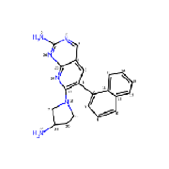 Nc1ncc2cc(-c3cccc4ccccc34)c(N3CCC(N)C3)nc2n1